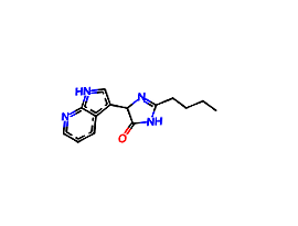 CCCCC1=NC(c2c[nH]c3ncccc23)C(=O)N1